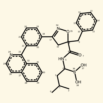 CC(C)CC(NC(=O)C1(Cc2ccccc2)CC(c2cccc(-c3nccc4ccccc34)c2)=NO1)B(O)O